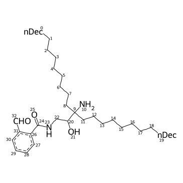 CCCCCCCCCCCCCCCCCCC(N)(CCCCCCCCCCCCCCCCCC)C(O)CNC(=O)c1ccccc1C=O